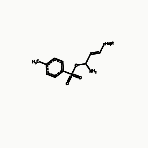 CCCCCCCC=CC(N)OS(=O)(=O)c1ccc(C)cc1